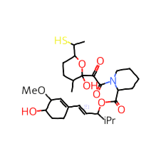 COC1C=C(/C=C/C(OC(=O)C2CCCCN2C(=O)C(=O)C2(O)OC(C(C)S)CCC2C)C(C)C)CCC1O